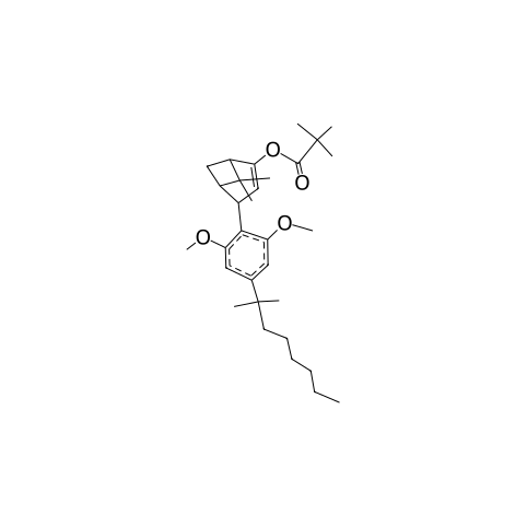 CCCCCCC(C)(C)c1cc(OC)c(C2C=C(OC(=O)C(C)(C)C)C3CC2C3(C)C)c(OC)c1